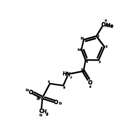 COc1ccc(C(=O)NCCS(C)(=O)=O)cc1